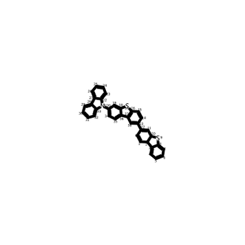 C1=CC2c3ccccc3SC2C=C1c1ccc2sc3cc(-n4c5ccccc5c5ccccc54)ccc3c2c1